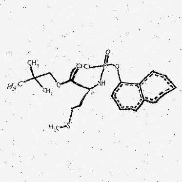 CSCC[C@H](NP(=O)(Cl)Oc1cccc2ccccc12)C(=O)OCC(C)(C)C